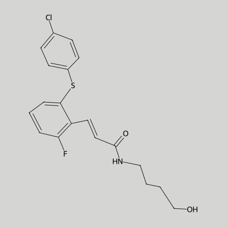 O=C(/C=C/c1c(F)cccc1Sc1ccc(Cl)cc1)NCCCCO